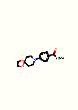 COC(=O)c1ccc(N2CCC3(CC2)OCCO3)cc1